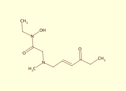 CCC(=O)/C=C/CN(C)CC(=O)N(O)CC